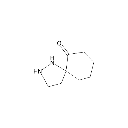 O=C1CCCCC12CCNN2